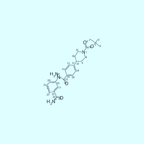 CC(C)(C)OC(=O)N1CCC(c2ccc(C(=O)N(N)c3cccc(C(N)=O)c3)cc2)CC1